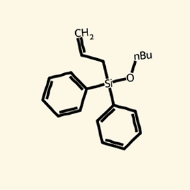 C=CC[Si](OCCCC)(c1ccccc1)c1ccccc1